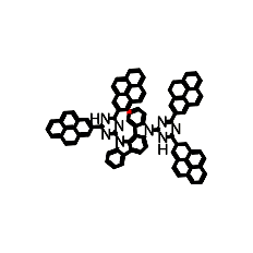 C1=c2ccc3cccc4ccc(c2c43)CC1C1=NC(c2cc3c4c(ccc5cccc(c54)CC3)c2)=NC(n2c3ccccc3c3c4c(ccc32)c2ccccc2n4C2=NC(c3cc4ccc5cccc6ccc(c3)c4c56)NC(c3cc4ccc5cccc6ccc(c3)c4c56)=N2)N1